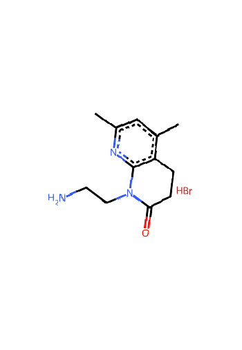 Br.Cc1cc(C)c2c(n1)N(CCN)C(=O)CC2